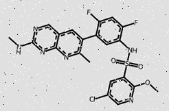 CNc1ncc2cc(-c3cc(NS(=O)(=O)c4cc(Cl)cnc4OC)c(F)cc3F)c(C)nc2n1